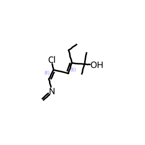 C=N/C=C(Cl)\C=C(/CC)C(C)(C)O